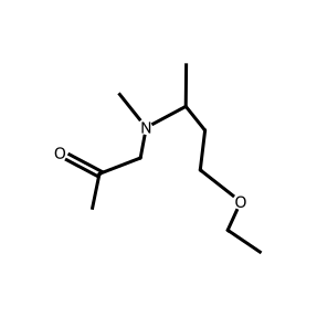 CCOCCC(C)N(C)CC(C)=O